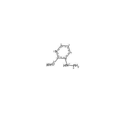 COc1ncccc1NP